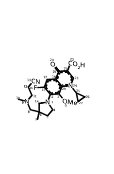 COc1c(N2CCC(C)(CN(C)CCC#N)C2)c(F)cc2c(=O)c(C(=O)O)cn(C3CC3)c12